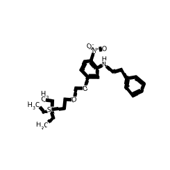 CC[Si](CC)(CC)CCOCOc1ccc([N+](=O)[O-])c(NCCc2ccccc2)c1